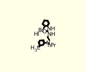 CCCN(CCNC(=O)Nc1ccccc1Br)c1cccc(C)c1.I